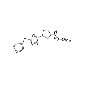 COBNC1CCC(c2nnc(Cc3ccccc3)o2)C1